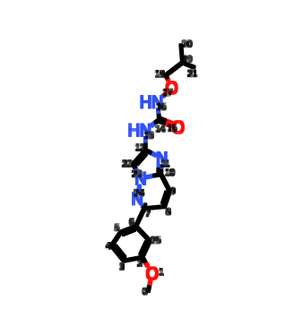 COc1cccc(-c2ccc3nc(NC(=O)NOCC(C)C)cn3n2)c1